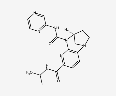 CC(NC(=O)c1ccc2c(n1)N(C(=O)Nc1cnccn1)[C@H]1CCN2C1)C(F)(F)F